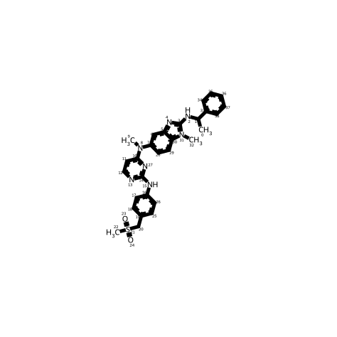 CC(Nc1nc2cc(N(C)c3ccnc(Nc4ccc(CS(C)(=O)=O)cc4)n3)ccc2n1C)c1ccccc1